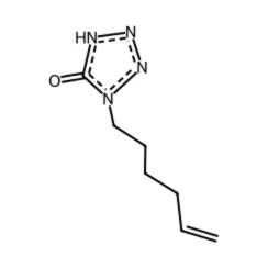 C=CCCCCn1nn[nH]c1=O